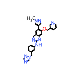 Cn1cc(-c2cc3cnc(Nc4cccc(Cn5cncn5)c4)nc3cc2OCc2cccnc2)cn1